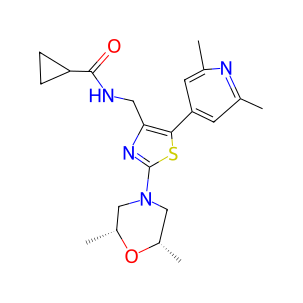 Cc1cc(-c2sc(N3C[C@@H](C)O[C@@H](C)C3)nc2CNC(=O)C2CC2)cc(C)n1